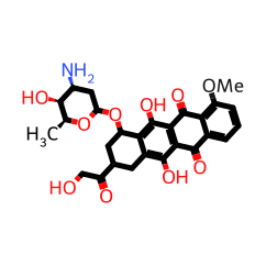 COc1cccc2c1C(=O)c1c(O)c3c(c(O)c1C2=O)CC(C(=O)CO)CC3OC1C[C@H](N)[C@H](O)[C@H](C)O1